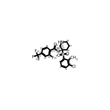 Cc1c(Cl)cccc1S(=O)(=O)[C@@]1(NC(=O)c2ccc(C(F)(F)F)cc2F)CCCNC1